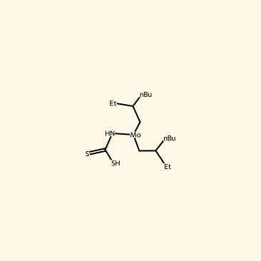 CCCCC(CC)[CH2][Mo]([CH2]C(CC)CCCC)[NH]C(=S)S